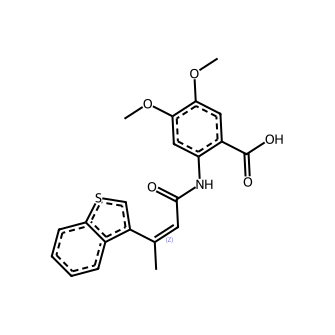 COc1cc(NC(=O)/C=C(/C)c2csc3ccccc23)c(C(=O)O)cc1OC